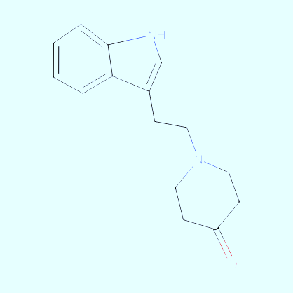 O=C1CCN(CCc2c[nH]c3ccccc23)CC1